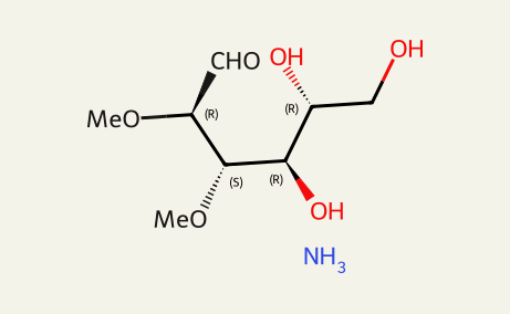 CO[C@@H]([C@H](O)[C@H](O)CO)[C@H](C=O)OC.N